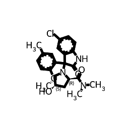 COc1ccc(C)cc1C1(N2C[C@@H](O)C[C@@H]2C(=O)N(C)C)C(=O)Nc2ccc(Cl)cc21